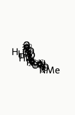 CNC(=O)c1cc(Oc2ccc(NC(=O)NC(=O)C3(C)CCOCC3)nc2)ccn1